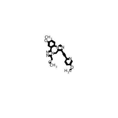 COCc1nnc2n1Cc1c(C#Cc3ccc(OC)cn3)ncn1-c1ccc(OC)cc1-2